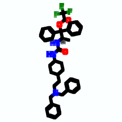 C[C@@H](NC(=O)NC1CCC(CCN(Cc2ccccc2)Cc2ccccc2)CC1)C(OC(=O)C(F)(F)F)(c1ccccc1)c1ccccc1